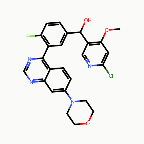 COc1cc(Cl)ncc1C(O)c1ccc(F)c(-c2ncnc3cc(N4CCOCC4)ccc23)c1